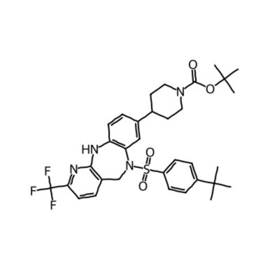 CC(C)(C)OC(=O)N1CCC(c2ccc3c(c2)N(S(=O)(=O)c2ccc(C(C)(C)C)cc2)Cc2ccc(C(F)(F)F)nc2N3)CC1